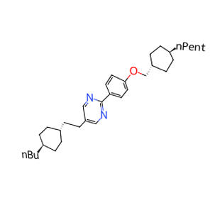 CCCCC[C@H]1CC[C@H](COc2ccc(-c3ncc(CC[C@H]4CC[C@H](CCCC)CC4)cn3)cc2)CC1